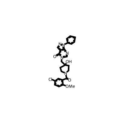 COc1ccc(Cl)cc1C(=O)N1CCC(O)(Cn2cnc3c(cnn3-c3ccccc3)c2=O)CC1